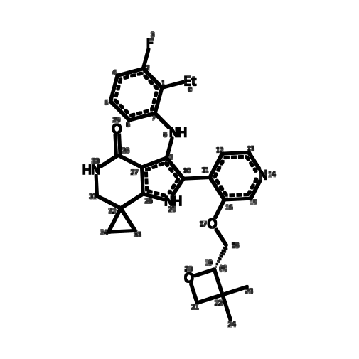 CCc1c(F)cccc1Nc1c(-c2ccncc2OC[C@H]2OCC2(C)C)[nH]c2c1C(=O)NCC21CC1